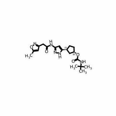 Cc1cc(CC(=O)Nc2cc([C@H]3CC[C@@H](OC(=O)NC(C)(C)C)C3)[nH]n2)no1